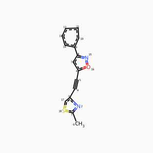 Cc1nc(C#Cc2cc(-c3ccccc3)no2)cs1